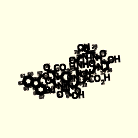 CC[C@H](C)[C@H](NC(=O)[C@H](CO)NC(=O)[C@H](CCC(=O)O)NC(=O)CNC(=O)[C@H](CO)NC(=O)[C@H](C)NC(=O)[C@@H]1C(O)CCN1C(=O)CN)C(=O)N(C1CCCCC1)[C@H](C(=O)O)C(=O)OCC1c2ccccc2-c2ccccc21